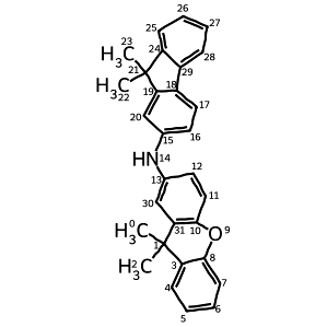 CC1(C)c2ccccc2Oc2ccc(Nc3ccc4c(c3)C(C)(C)c3ccccc3-4)cc21